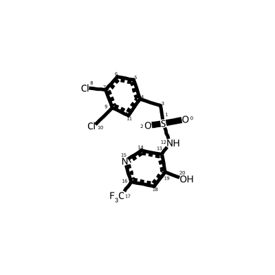 O=S(=O)(Cc1ccc(Cl)c(Cl)c1)Nc1cnc(C(F)(F)F)cc1O